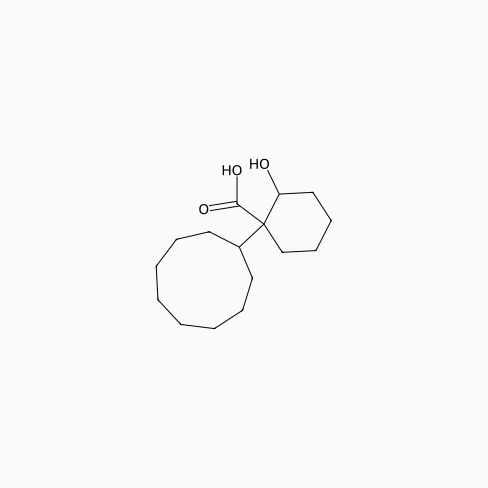 O=C(O)C1(C2CCCCCCCC2)CCCCC1O